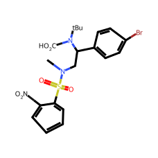 CN(CC(c1ccc(Br)cc1)N(C(=O)O)C(C)(C)C)S(=O)(=O)c1ccccc1[N+](=O)[O-]